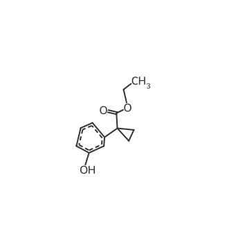 CCOC(=O)C1(c2cccc(O)c2)CC1